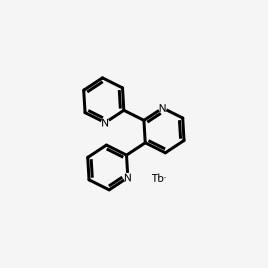 [Tb].c1ccc(-c2cccnc2-c2ccccn2)nc1